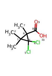 CC1(C)C(Cl)(Cl)C1(C)C(=O)O